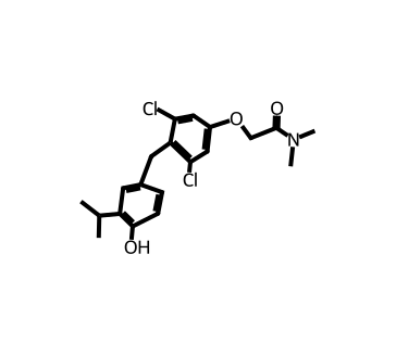 CC(C)c1cc(Cc2c(Cl)cc(OCC(=O)N(C)C)cc2Cl)ccc1O